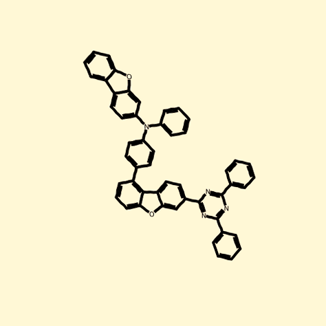 c1ccc(-c2nc(-c3ccccc3)nc(-c3ccc4c(c3)oc3cccc(-c5ccc(N(c6ccccc6)c6ccc7c(c6)oc6ccccc67)cc5)c34)n2)cc1